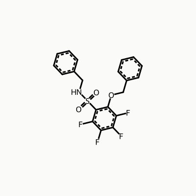 O=S(=O)(NCc1ccccc1)c1c(F)c(F)c(F)c(F)c1OCc1ccccc1